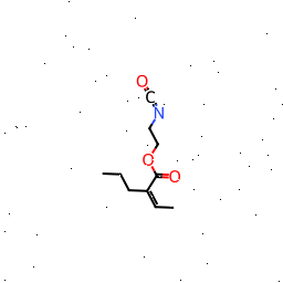 CC=C(CCC)C(=O)OCCN=C=O